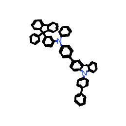 c1ccc(-c2ccc(-n3c4ccccc4c4cc(-c5ccc(N(c6ccccc6)c6cccc(C7(c8ccccc8)c8ccccc8-c8ccccc87)c6)cc5)ccc43)cc2)cc1